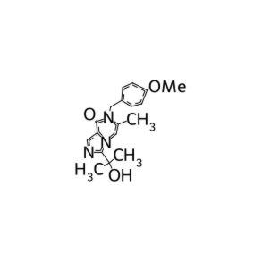 COc1ccc(Cn2c(C)cn3c(C(C)(C)O)ncc3c2=O)cc1